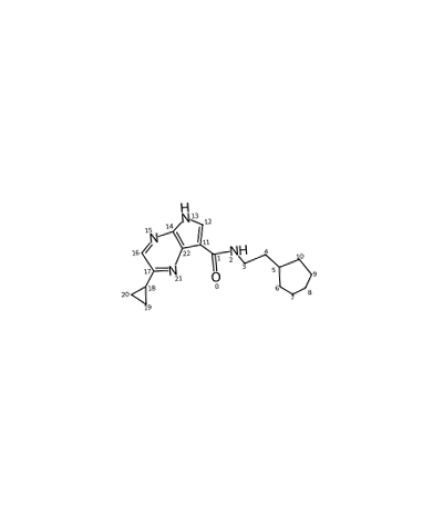 O=C(NCCC1CCCCC1)c1c[nH]c2ncc(C3CC3)nc12